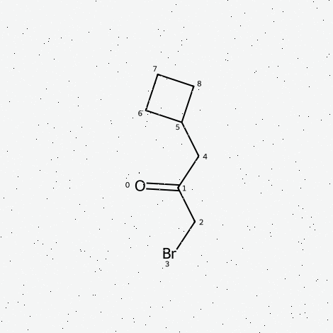 O=C(CBr)CC1CCC1